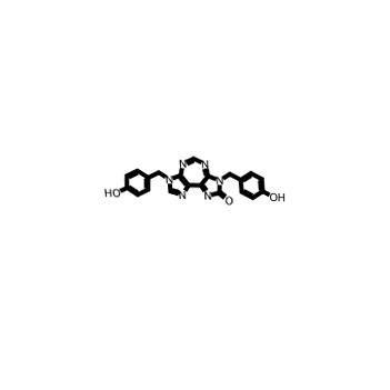 O=c1nc2c3ncn(Cc4ccc(O)cc4)c3ncnc-2n1Cc1ccc(O)cc1